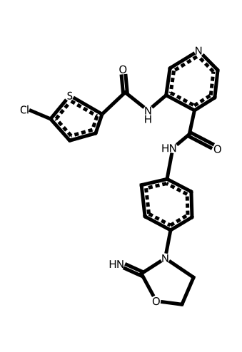 N=C1OCCN1c1ccc(NC(=O)c2ccncc2NC(=O)c2ccc(Cl)s2)cc1